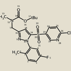 Cc1ccc(F)cc1-n1nc(CN(C)C(=O)OC(C)(C)C)cc1S(=O)(=O)c1ccc(Cl)nc1